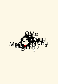 COc1cc2cc(c1Cl)N(C)C(=O)C[C@H](OC(=O)N/C(C)=C/C=C(\C)N)[C@]1(C)O[C@H]1[C@H](C)[C@@H]1C[C@@](O)(NC(=O)O1)[C@H](OC)/C=C/C=C(\C)C2